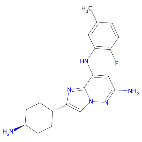 Cc1ccc(F)c(Nc2cc(N)nn3cc([C@H]4CC[C@H](N)CC4)nc23)c1